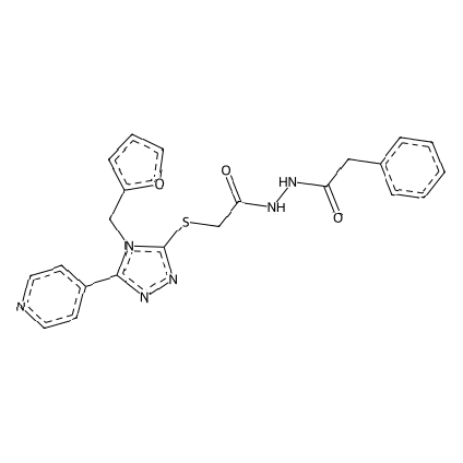 O=C(CSc1nnc(-c2ccncc2)n1Cc1ccco1)NNC(=O)Cc1ccccc1